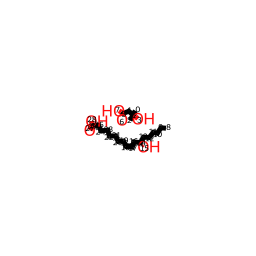 CC(C)(O)CC(=O)O.CCCCCC[C@@H](O)C/C=C\CCCCCCCC(=O)O